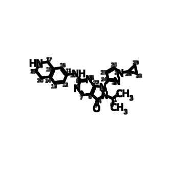 CC(C)n1c(=O)c2cnc(Nc3ccc4c(c3)CNCC4)nc2n1-c1ccn(C2CC2)n1